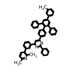 Cc1cccc(-c2cc(-c3ccccc3)c(-c3ccc(-c4cc(-c5cccc(-c6ccc(C)nc6C)c5)nc(C5=CCCC=C5)n4)cc3)c(-c3ccccc3)c2)c1